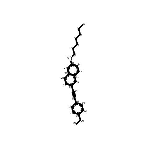 CCCCCCCOc1ccc2cc(C#Cc3ccc(CC)cc3)ccc2c1